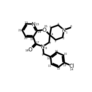 CN1CCC2(CC1)CN(Cc1ccc(Cl)cc1)C(=O)c1cccnc1O2